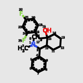 CN(C)C(c1ccccc1)C1CCCCC1(O)Cc1ccc(F)cc1F